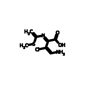 C=C(/N=C(C(=O)O)\C(Cl)=C/N)SC